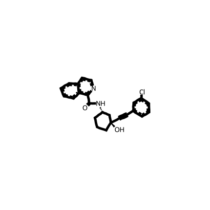 O=C(N[C@H]1CCC[C@@](O)(C#Cc2cccc(Cl)c2)C1)c1nccc2ccccc12